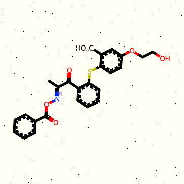 C/C(=N\OC(=O)c1ccccc1)C(=O)c1ccccc1Sc1ccc(OCCO)cc1C(=O)O